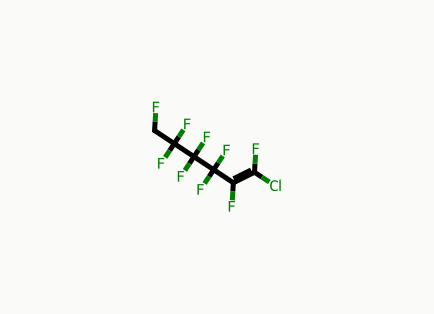 FCC(F)(F)C(F)(F)C(F)(F)/C(F)=C(\F)Cl